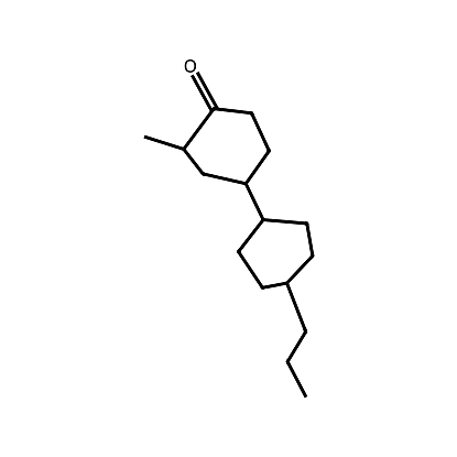 CCCC1CCC(C2CCC(=O)C(C)C2)CC1